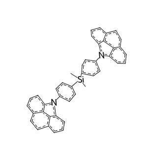 C[Si](C)(c1ccc(-n2c3cccc4ccc5cccc2c5c43)cc1)c1ccc(-n2c3cccc4ccc5cccc2c5c43)cc1